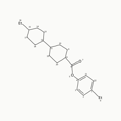 CCc1ccc(OC(=O)C2CCC(C3CCC(CC)CC3)CC2)cc1